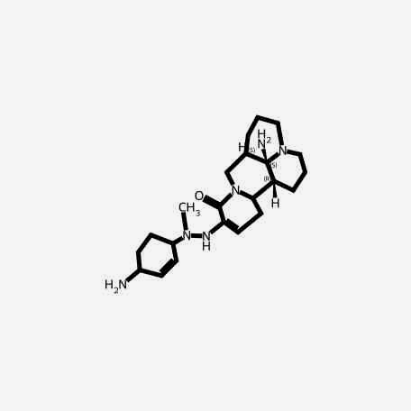 CN(NC1=CCC2[C@H]3CCCN4CCC[C@@H](CN2C1=O)[C@@]34N)C1C=CC(N)CC1